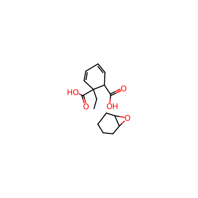 C1CCC2OC2C1.CCC1(C(=O)O)C=CC=CC1C(=O)O